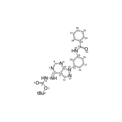 CC(C)(C)OC(=O)NNc1ncnc2c1cnn2-c1cccc(NC(=O)c2ccccc2)c1